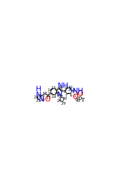 CC(C)OC(=O)Nc1ccc(-c2c(N)c3ccc(C(=O)Cc4ncc[nH]4)cc3n2C2CCC2)cc1